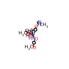 CC(=O)c1ccc(C(=O)NC[C@@H](O)[Si@@H]2Cc3ccc(OCc4ccnn4C)cc3CN2C(=O)OC(C)(C)C)cc1